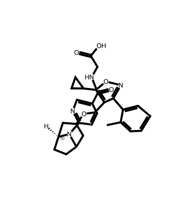 Cc1ccccc1-c1noc(C2CC2)c1COC1CC2CC[C@@H](C1)N2c1ccc(C(=O)NCC(=O)O)cn1